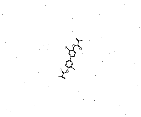 C=C(C)C(=O)Oc1ccc(-c2ccc(OC(=O)C(=C)C)c(F)c2)cc1C